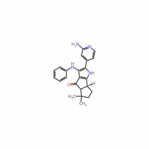 CC1(C)CC[C@H]2c3[nH]c(-c4ccnc(N)c4)c(Nc4ccccc4)c3C(=O)C21